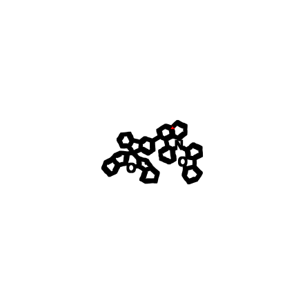 c1ccc(N(c2ccccc2-c2ccccc2-c2ccc3c(c2)-c2ccccc2C32c3ccc4ccccc4c3Oc3c2ccc2ccccc32)c2cccc3c2oc2ccccc23)cc1